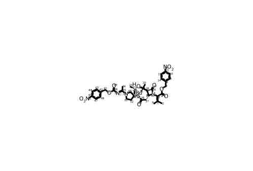 CC(C)=C(C(=O)OCc1ccc([N+](=O)[O-])cc1)N1C(=O)[C@H]([C@@](C)(O[SiH](C)C)C(C)(C)C)[C@H]1CC(=O)S[C@H]1CCN(/C(C)=N/C(=O)OCc2ccc([N+](=O)[O-])cc2)C1